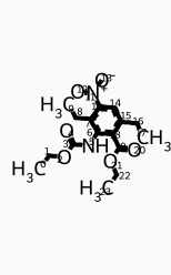 CCOC(=O)Nc1c(CC)c([N+](=O)[O-])cc(CC)c1C(=O)OCC